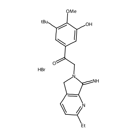 Br.CCc1ccc2c(n1)C(=N)N(CC(=O)c1cc(O)c(OC)c(C(C)(C)C)c1)C2